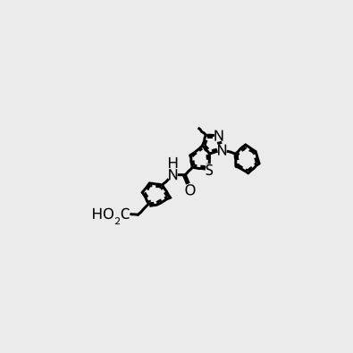 Cc1nn(-c2ccccc2)c2sc(C(=O)Nc3ccc(CC(=O)O)cc3)cc12